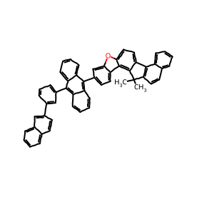 CC1(C)c2ccc3ccccc3c2-c2ccc3oc4cc(-c5c6ccccc6c(-c6cccc(-c7ccc8ccccc8c7)c6)c6ccccc56)ccc4c3c21